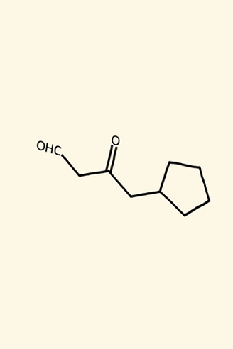 O=CCC(=O)CC1CCCC1